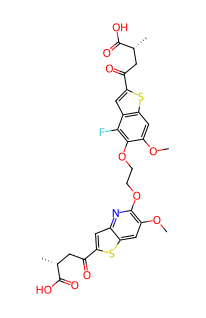 COc1cc2sc(C(=O)C[C@@H](C)C(=O)O)cc2nc1OCCOc1c(OC)cc2sc(C(=O)C[C@@H](C)C(=O)O)cc2c1F